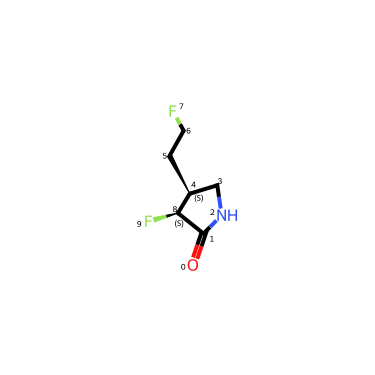 O=C1NC[C@H](CCF)[C@@H]1F